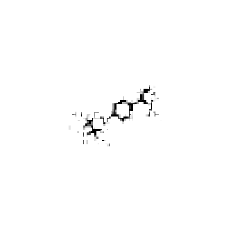 Cn1nnnc1-c1ccc(B2OC(C)(C)C(C)(C)O2)cn1